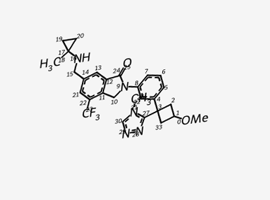 COC1CC(c2cccc(N3Cc4c(cc(CNC5(C)CC5)cc4C(F)(F)F)C3=O)c2)(c2nncn2C)C1